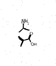 C=C(C)C(=O)O.CC(C)N